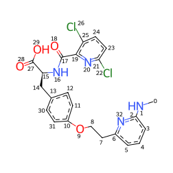 CNc1cccc(CCOc2ccc(C[C@H](NC(=O)c3nc(Cl)ccc3Cl)C(=O)O)cc2)n1